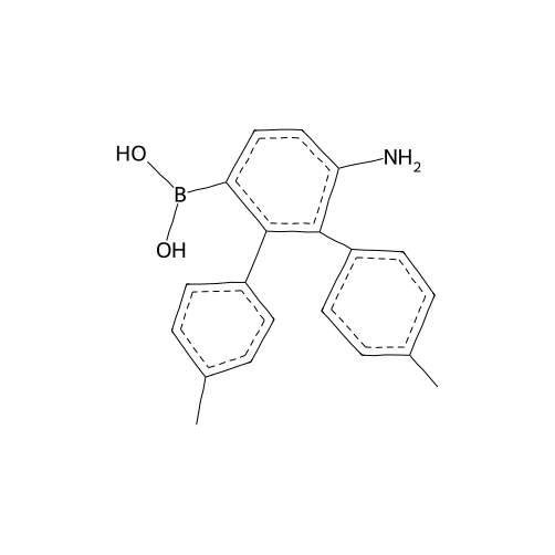 Cc1ccc(-c2c(N)ccc(B(O)O)c2-c2ccc(C)cc2)cc1